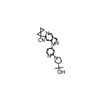 CC(C)(O)[C@@H]1CCN(c2cc(-n3ncc4cnc(C5(C#N)CC56CC6)cc43)ccn2)C1